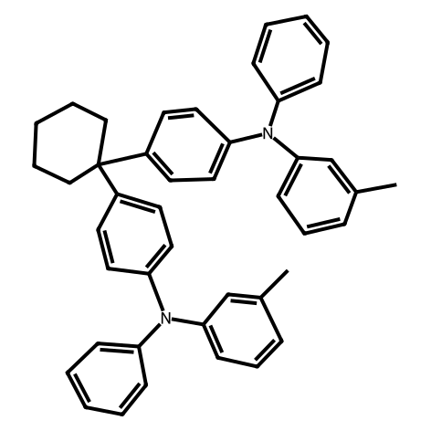 Cc1cccc(N(c2ccccc2)c2ccc(C3(c4ccc(N(c5ccccc5)c5cccc(C)c5)cc4)CCCCC3)cc2)c1